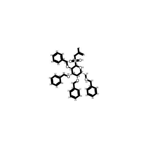 C=C(C)CS(=O)(=O)C1O[C@H](COCc2ccccc2)[C@H](OCc2ccccc2)[C@H](OCc2ccccc2)[C@H]1OCc1ccccc1